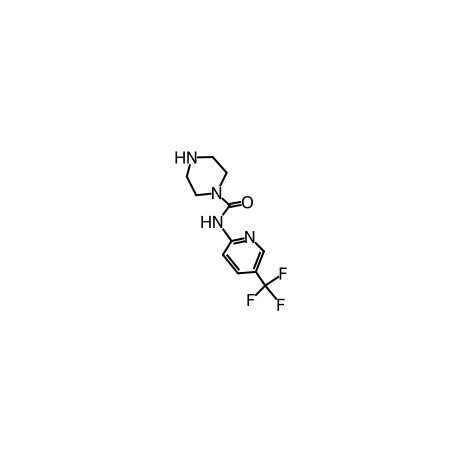 O=C(Nc1ccc(C(F)(F)F)cn1)N1CCNCC1